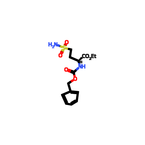 CCOC(=O)[C@H](CCS(N)(=O)=O)NC(=O)OCc1ccccc1